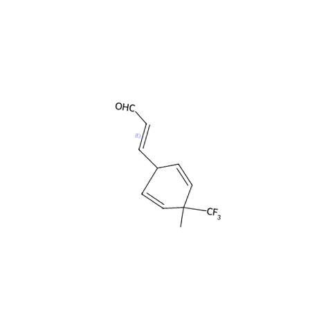 CC1(C(F)(F)F)C=CC(/C=C/C=O)C=C1